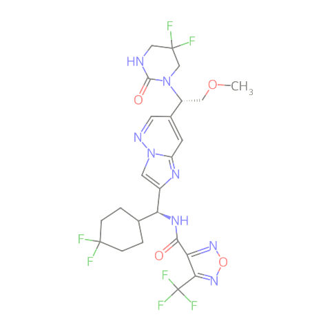 COC[C@H](c1cnn2cc([C@@H](NC(=O)c3nonc3C(F)(F)F)C3CCC(F)(F)CC3)nc2c1)N1CC(F)(F)CNC1=O